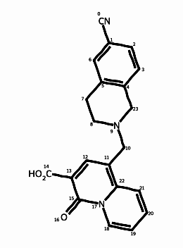 N#Cc1ccc2c(c1)CCN(Cc1cc(C(=O)O)c(=O)n3ccccc13)C2